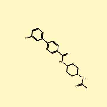 CC(=O)N[C@H]1CC[C@@H](NC(=O)c2ccc(-c3cccc(F)c3)nc2)CC1